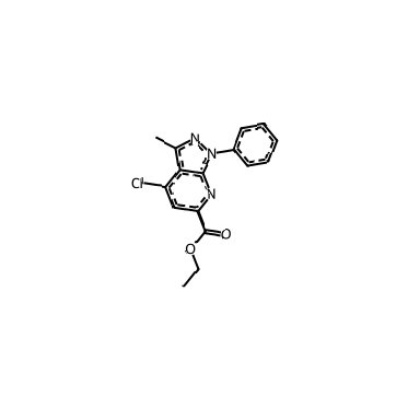 CCOC(=O)c1cc(Cl)c2c(C)nn(-c3ccccc3)c2n1